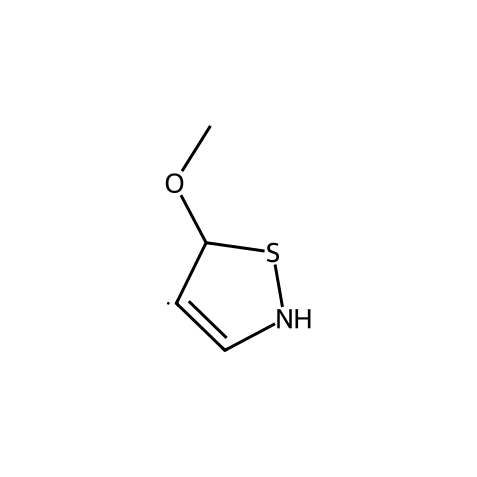 COC1[C]=CNS1